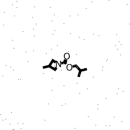 CC(C)COC(=O)N1CC(C)C1